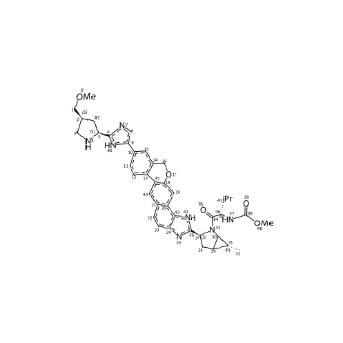 COC[C@@H]1CN[C@H](c2ncc(-c3ccc4c(c3)COc3cc5c(ccc6nc([C@@H]7CC8C([C@@H]8C)N7C(=O)[C@@H](NC(=O)OC)C(C)C)[nH]c65)cc3-4)[nH]2)C1